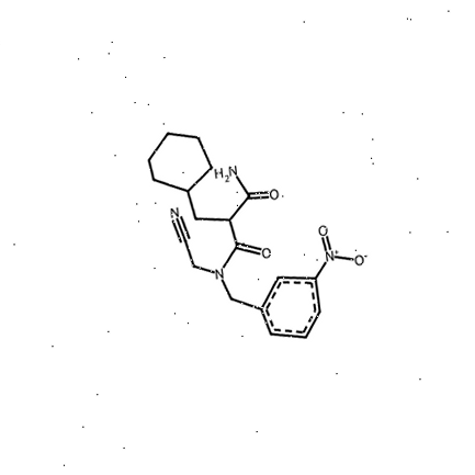 N#CCN(Cc1cccc([N+](=O)[O-])c1)C(=O)C(CC1CCCCC1)C(N)=O